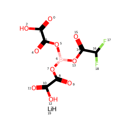 O=C(O)C(=O)OB(OC(=O)C(=O)O)OC(=O)C(F)F.[LiH]